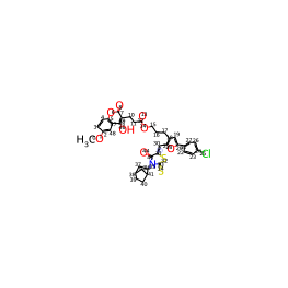 COc1ccc2oc(=O)c(CCC(=O)OCCCc3cc(-c4ccc(Cl)cc4)oc3/C=C3\SC(=S)N(C4CC5CCC4C5)C3=O)c(O)c2c1